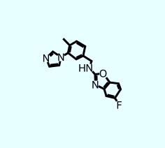 Cc1ccc(CNc2nc3cc(F)ccc3o2)cc1-n1ccnc1